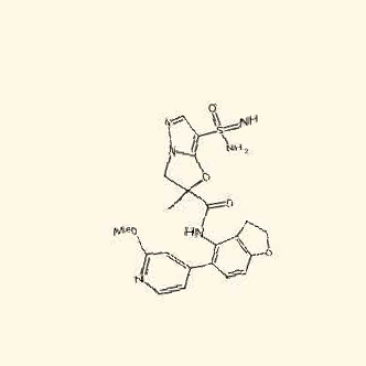 COc1cc(-c2ccc3c(c2NC(=O)C2(C)Cn4ncc(S(=N)(N)=O)c4O2)CCO3)ccn1